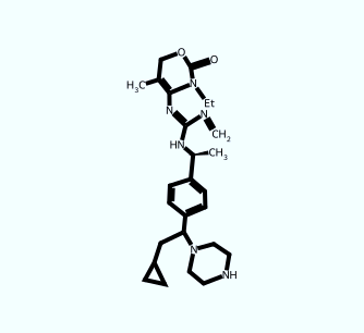 C=N/C(=N\C1=C(C)COC(=O)N1CC)N[C@@H](C)c1ccc(C(CC2CC2)N2CCNCC2)cc1